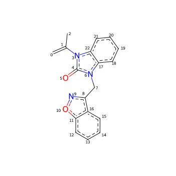 C=C(C)n1c(=O)n(Cc2noc3ccccc23)c2ccccc21